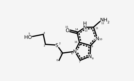 CC(SCCO)n1cnc2nc(N)[nH]c(=O)c21